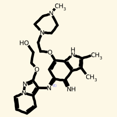 Cc1[nH]c2c(c1C)C(=N)/C(=N/c1c(OCCO)nn3ccccc13)C=C2OCCN1CCN(C)CC1